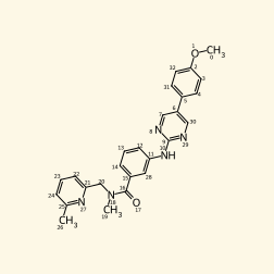 COc1ccc(-c2cnc(Nc3cccc(C(=O)N(C)Cc4cccc(C)n4)c3)nc2)cc1